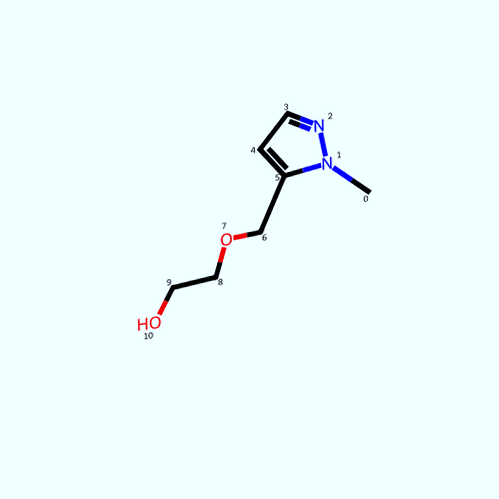 Cn1nccc1COCCO